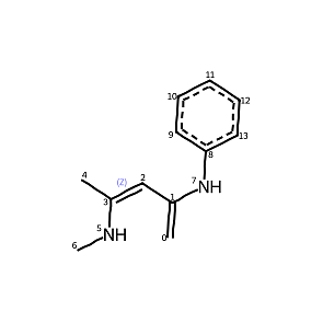 C=C(/C=C(/C)NC)Nc1ccccc1